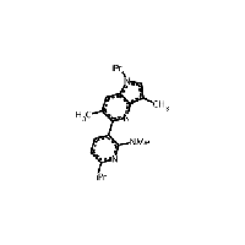 CNc1nc(C(C)C)ccc1-c1nc2c(C)cn(C(C)C)c2cc1C